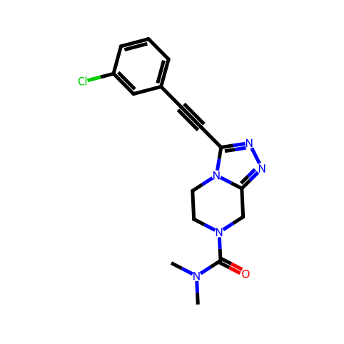 CN(C)C(=O)N1CCn2c(C#Cc3cccc(Cl)c3)nnc2C1